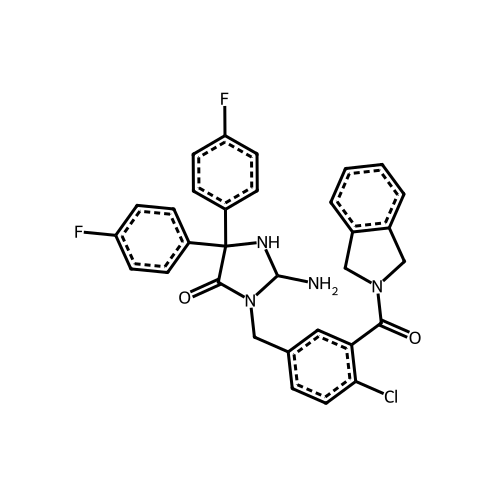 NC1NC(c2ccc(F)cc2)(c2ccc(F)cc2)C(=O)N1Cc1ccc(Cl)c(C(=O)N2Cc3ccccc3C2)c1